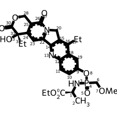 CCOC(=O)[C@H](C)NP(=O)(COC)Oc1ccc2nc3c(c(CC)c2c1)Cn1c-3cc2c(c1=O)COC(=O)[C@]2(O)CC